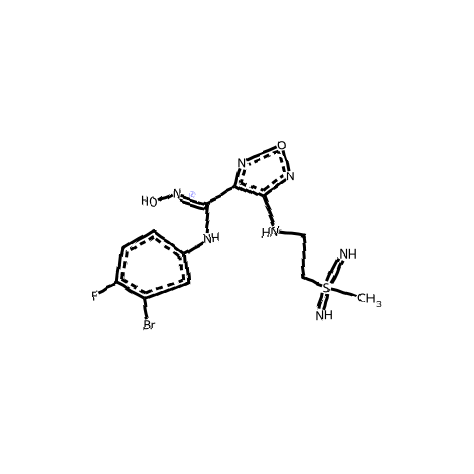 CS(=N)(=N)CCNc1nonc1/C(=N/O)Nc1ccc(F)c(Br)c1